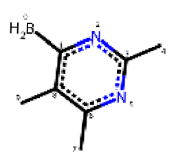 Bc1nc(C)nc(C)c1C